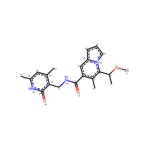 CCOC(C)c1c(C)c(C(=O)NCc2c(C)cc(C)[nH]c2=O)cc2cccn12